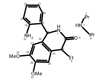 CC(C)NC(C)C.CCC1C(=O)NC(c2ccccc2N)c2cc(OC)c(OC)cc21